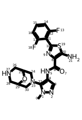 Cn1ncc(NC(=O)c2nc(-c3c(F)cccc3F)sc2N)c1N1CC2CNCC(C1)O2